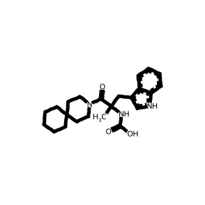 CC(Cc1c[nH]c2ccccc12)(NC(=O)O)C(=O)N1CCC2(CCCCC2)CC1